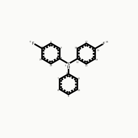 Fc1ccc([SH](c2ccccc2)c2ccc(F)cc2)cc1